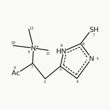 CC(=O)C(Cc1cnc(S)[nH]1)[N+](C)(C)C